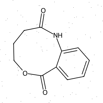 O=C1CCCOC(=O)c2ccccc2N1